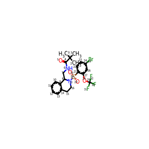 CC(C)(C)C(=O)NCC1c2ccccc2CCN1S(=O)(=O)c1ccc(Br)cc1OC(F)(F)F